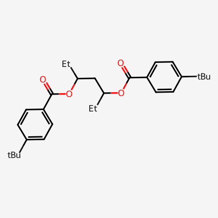 CCC(CC(CC)OC(=O)c1ccc(C(C)(C)C)cc1)OC(=O)c1ccc(C(C)(C)C)cc1